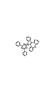 c1ccc(-c2nc(-c3ccccc3)nc(-n3c4c(c5ccccc53)-c3ccccc3Oc3ccccc3-4)n2)cc1